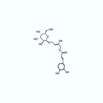 N#C/C(=C\CO[C@@H]1O[C@H](CO)[C@@H](O)[C@@H](O)[C@@H]1O)COC(=O)C=Cc1ccc(O)c(O)c1